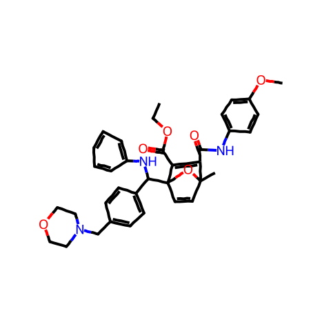 CCOC(=O)C1=C(C(=O)Nc2ccc(OC)cc2)C2(C)C=CC1(C(Nc1ccccc1)c1ccc(CN3CCOCC3)cc1)O2